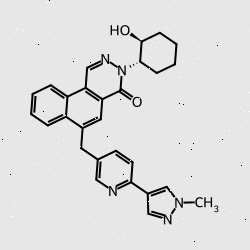 Cn1cc(-c2ccc(Cc3cc4c(=O)n([C@H]5CCCC[C@@H]5O)ncc4c4ccccc34)cn2)cn1